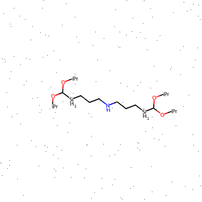 CC(C)OC(OC(C)C)[SiH2]CCCNCCC[SiH2]C(OC(C)C)OC(C)C